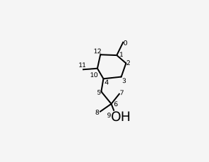 CC1CCC(CC(C)(C)O)C(C)C1